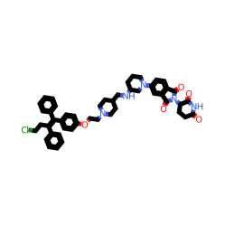 O=C1CCC(N2C(=O)c3ccc(N4CCCC(NCC5CCN(CCOc6ccc(C(=C(CCCl)c7ccccc7)c7ccccc7)cc6)CC5)C4)cc3C2=O)C(=O)N1